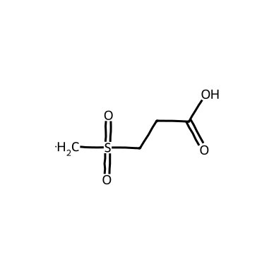 [CH2]S(=O)(=O)CCC(=O)O